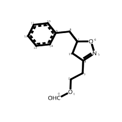 O=COCCC1=NOC(Cc2ccccc2)C1